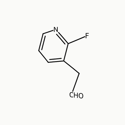 O=CCc1cccnc1F